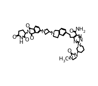 CN1CCN(C2CCCN(c3nnc(C(N)=O)c(CCc4ccc5c(c4)CCN(C4CN(c6ccc7c(c6)C(=O)N(C6CCC(=O)NC6=O)C7=O)C4)C5)n3)C2)C1=O